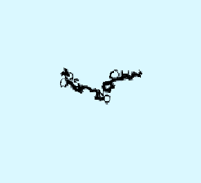 CCCCCCC(O)c1ccc(N2C(=O)CCC2CCCc2ccc(C(=O)OC(C)C)s2)cc1